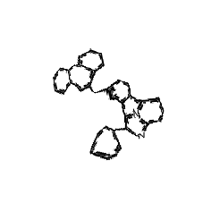 c1ccc(-c2nc3cccc4c5ccc(-c6cc7ccccc7c7ccccc67)cc5c2n34)cc1